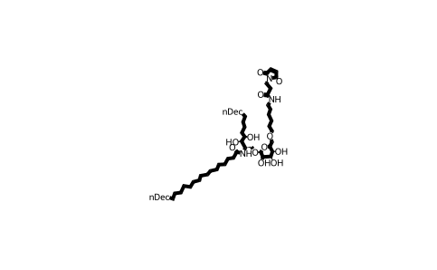 CCCCCCCCCCCCCCCCCCCCCCCCCC(=O)N[C@@H](CO[C@H]1OC(COCCCCCCNC(=O)CCN2C(=O)C=CC2=O)[C@H](O)[C@H](O)C1O)[C@H](O)[C@H](O)CCCCCCCCCCCCCC